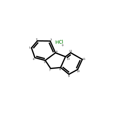 Cl.c1ccc2c(c1)Cc1ccccc1-2